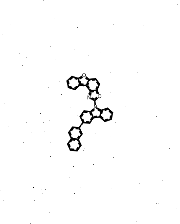 c1ccc2cc(-c3ccc4c(c3)c3ccccc3n4-c3nc4c(ccc5oc6ccccc6c54)o3)ccc2c1